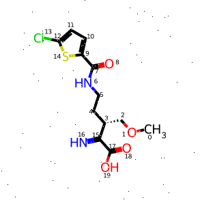 COC[C@@H](CCNC(=O)c1ccc(Cl)s1)C(=N)C(=O)O